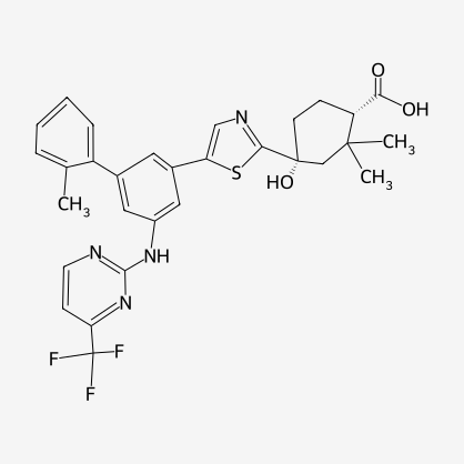 Cc1ccccc1-c1cc(Nc2nccc(C(F)(F)F)n2)cc(-c2cnc([C@@]3(O)CC[C@H](C(=O)O)C(C)(C)C3)s2)c1